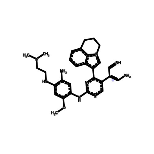 COc1cc(NCCN(C)C)c(N)cc1Nc1ncc(/C(C=N)=C/N)c(-c2cn3c4c(cccc24)CCC3)n1